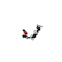 O=C(NCCC(=O)N1CCC(C(=O)O[C@H]2CN3CCC2CC3)(c2ccccc2)CC1)c1ccc(CNCC(O)c2ccc(O)c3[nH]c(=O)ccc23)cc1